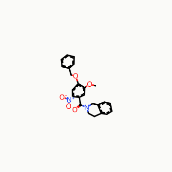 COc1cc(C(=O)N2CCc3ccccc3C2)c([N+](=O)[O-])cc1OCc1ccccc1